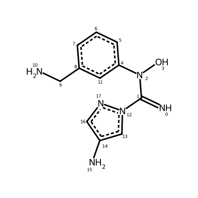 N=C(N(O)c1cccc(CN)c1)n1cc(N)cn1